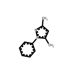 [CH2]c1cc(C)nn1-c1ccccc1